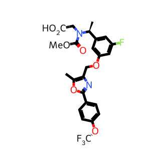 COC(=O)N(CC(=O)O)[C@@H](C)c1cc(F)cc(OCc2nc(-c3ccc(OC(F)(F)F)cc3)oc2C)c1